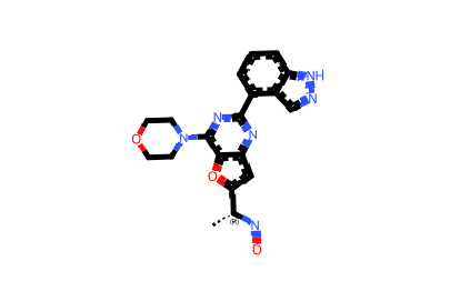 C[C@@H](N=O)c1cc2nc(-c3cccc4[nH]ncc34)nc(N3CCOCC3)c2o1